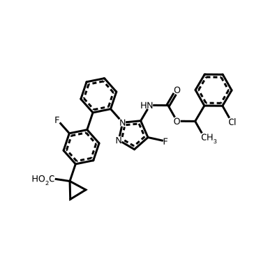 CC(OC(=O)Nc1c(F)cnn1-c1ccccc1-c1ccc(C2(C(=O)O)CC2)cc1F)c1ccccc1Cl